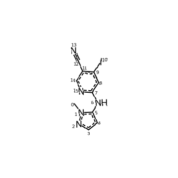 Cn1nccc1Nc1cc(I)c(C#N)cn1